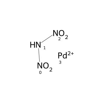 O=[N+]([O-])N[N+](=O)[O-].[Pd+2]